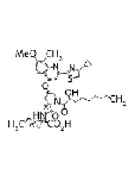 C=CCCCCCC(O)C(=O)N1C[C@H](Oc2cc(-c3nc(C4CC4)cs3)nc3c(C)c(OC)ccc23)C[C@@H]1C(=O)N[C@]1(C(=O)O)C[C@H]1C=C